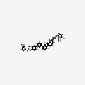 Cc1c(-c2ccc(CNC[C@@H]3CCC(=O)N3)cc2)cccc1-c1cccc(-c2ccn3nc(CNC[C@@H]4CCC(=O)N4)nc3c2)c1C